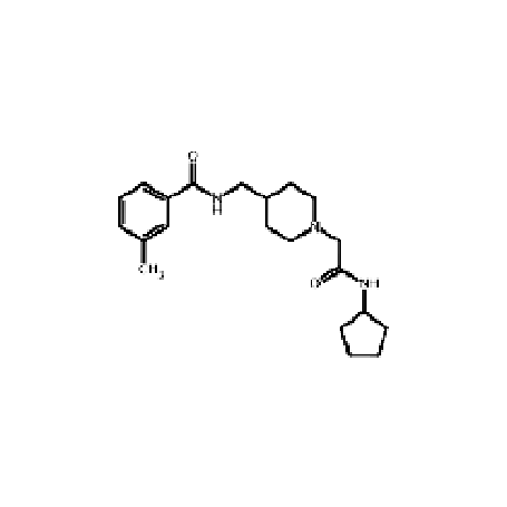 Cc1cccc(C(=O)NCC2CCN(CC(=O)NC3CCCC3)CC2)c1